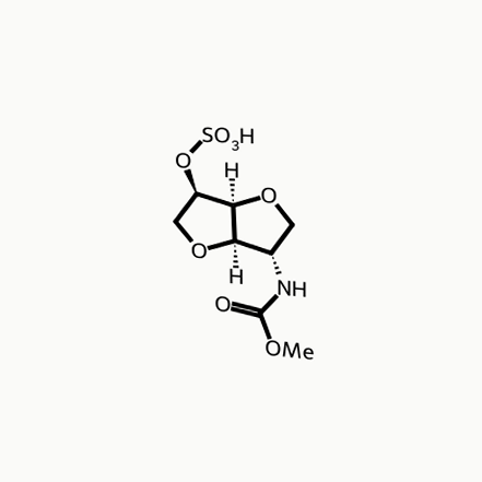 COC(=O)N[C@H]1CO[C@H]2[C@@H]1OC[C@H]2OS(=O)(=O)O